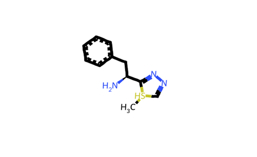 C[SH]1C=NN=C1[C@@H](N)Cc1ccccc1